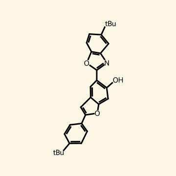 CC(C)(C)c1ccc(-c2cc3cc(-c4nc5cc(C(C)(C)C)ccc5o4)c(O)cc3o2)cc1